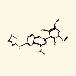 CNc1nc(-c2c(Cl)c(OC)cc(OC)c2Cl)cc2cnc(NC3CCOC3)nc12